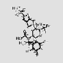 [2H][C@@]1(N2Cc3cn(S(C)(=O)=O)nc3C2)C[C@H](N(C(=O)O)C(C)(C)C)[C@@H](c2cc(F)c(F)cc2F)O[C@@H]1C(F)(F)F